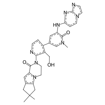 Cn1cc(-c2ccnc(N3CCn4c(cc5c4CC(C)(C)C5)C3=O)c2CO)cc(Nc2ccn3ccnc3n2)c1=O